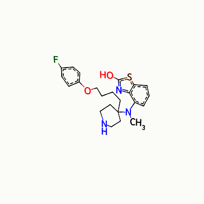 CN(c1cccc2sc(O)nc12)C1(CCCCOc2ccc(F)cc2)CCNCC1